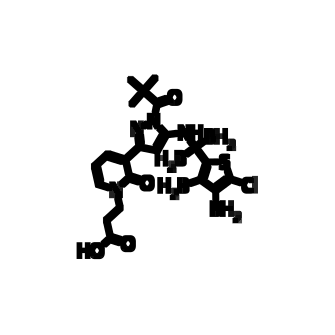 Bc1c(Cl)sc(C(B)(B)Nc2cc(-c3cccn(CCC(=O)O)c3=O)nn2C(=O)C(C)(C)C)c1B